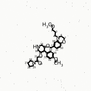 COCCCN1CCOc2ccc(CO[C@H]3CNC[C@@H](OCC(=O)N4CCCC4)C3c3ccc(OC)cc3)cc21